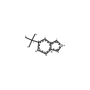 CC(C)(C)c1cc2cocc2cn1